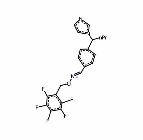 CCCC(c1ccc(/C=N/OCc2c(F)c(F)c(F)c(F)c2F)cc1)n1ccnc1